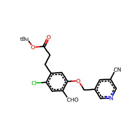 CC(C)(C)OC(=O)CCc1cc(OCc2cncc(C#N)c2)c(C=O)cc1Cl